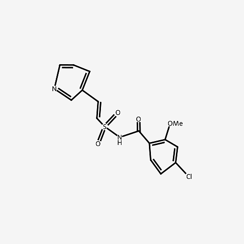 COc1cc(Cl)ccc1C(=O)NS(=O)(=O)C=Cc1cccnc1